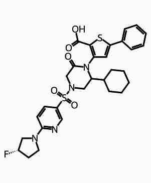 O=C(O)c1sc(-c2ccccc2)cc1N1C(=O)CN(S(=O)(=O)c2ccc(N3CC[C@H](F)C3)nc2)CC1C1CCCCC1